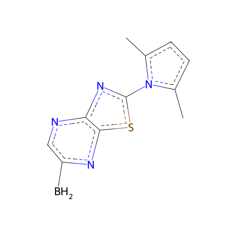 Bc1cnc2nc(-n3c(C)ccc3C)sc2n1